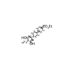 C=CCc1c(O)nc(-c2ccc(N3CCN(C(=O)OCC)CC3)cc2)nc1O